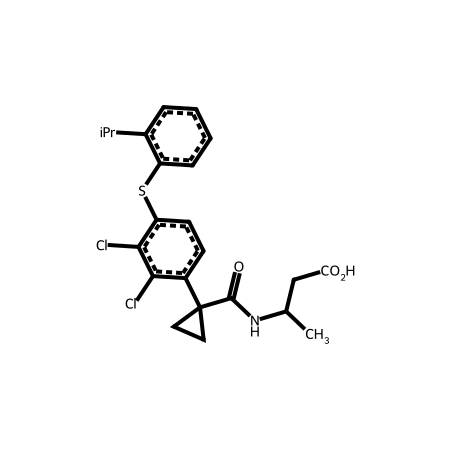 CC(CC(=O)O)NC(=O)C1(c2ccc(Sc3ccccc3C(C)C)c(Cl)c2Cl)CC1